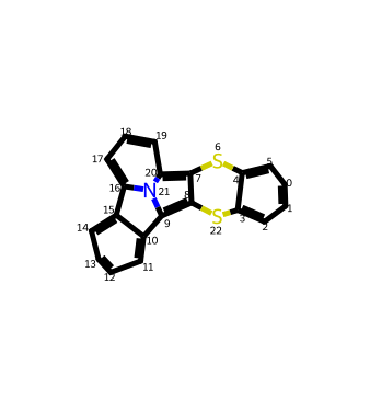 c1ccc2c(c1)Sc1c(c3c4ccccc4c4cccc1n43)S2